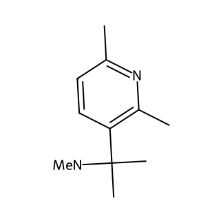 CNC(C)(C)c1ccc(C)nc1C